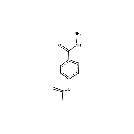 CC(=O)Oc1ccc(C(=O)NN)cc1